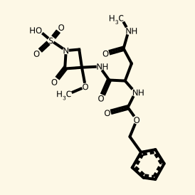 CNC(=O)CC(NC(=O)OCc1ccccc1)C(=O)NC1(OC)CN(S(=O)(=O)O)C1=O